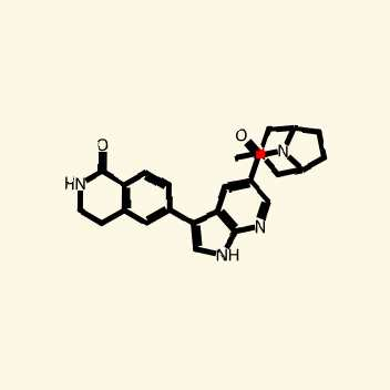 CN1CC2CCC(C1)N2C(=O)c1cnc2[nH]cc(-c3ccc4c(c3)CCNC4=O)c2c1